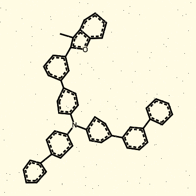 Cc1c(-c2cccc(-c3ccc(N(c4ccc(-c5ccccc5)cc4)c4ccc(-c5cccc(-c6ccccc6)c5)cc4)cc3)c2)oc2ccccc12